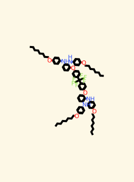 CCCCCCCCOc1ccc(Nc2cccc(Oc3ccc(C(c4ccc(Oc5cccc(Nc6ccc(OCCCCCCCC)cc6)c5Nc5ccc(OCCCCCCCC)cc5)cc4)(C(F)(F)F)C(F)(F)F)cc3)c2Nc2ccc(OCCCCCCCC)cc2)cc1